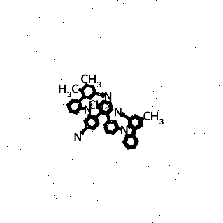 Cc1cc(C#N)c2c(c1)c1ccccc1n2-c1cccc(-c2ccccc2-c2ccc(C#N)cc2N(C)c2ccccc2C2C=C(C#N)CC(C)C2C)c1